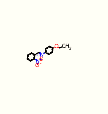 CCOc1ccc(/N=C/c2ccccc2[N+](=O)[O-])cc1